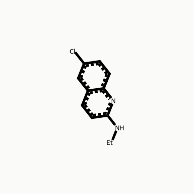 CCNc1ccc2cc(Cl)ccc2n1